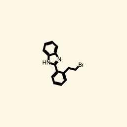 BrCCc1ccccc1-c1nc2ccccc2[nH]1